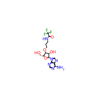 Nc1ncnc2c1ncn2[C@@H]1O[C@H](CO)C(OCCCNC(=O)C(F)(F)F)C1O